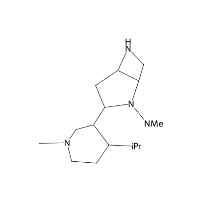 CNN1C2CNC2CC1C1CN(C)CCC1C(C)C